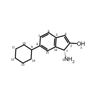 N[C@H]1C(O)=Cc2ccc(C3CCCCC3)cc21